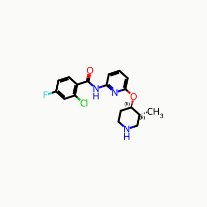 C[C@@H]1CNCC[C@H]1Oc1cccc(NC(=O)c2ccc(F)cc2Cl)n1